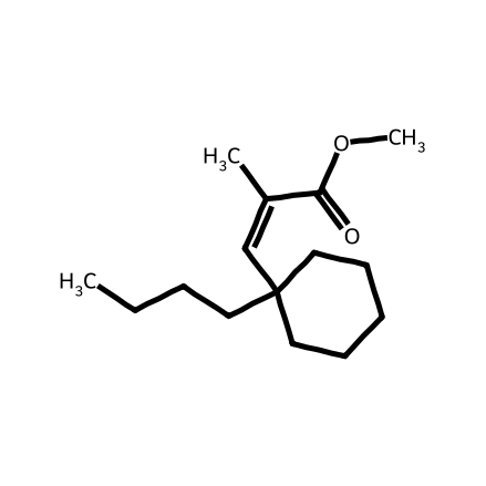 CCCCC1(C=C(C)C(=O)OC)CCCCC1